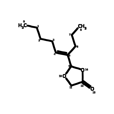 CCCCC=C(CCC)C1OCC(=O)O1